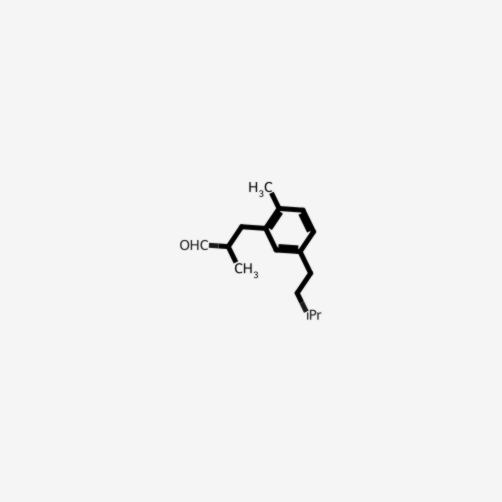 Cc1ccc(CCC(C)C)cc1CC(C)C=O